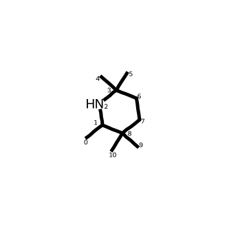 CC1NC(C)(C)CCC1(C)C